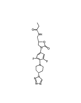 CCC(=O)NCC1CN(c2cc(F)c(N3CCC(n4cnnn4)CC3)c(F)c2)C(=O)O1